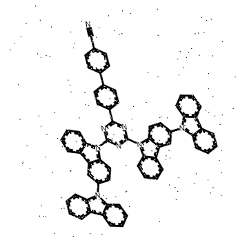 N#Cc1ccc(-c2ccc(-c3nc(-n4c5ccccc5c5cc(-n6c7ccccc7c7ccccc76)ccc54)nc(-n4c5ccccc5c5cc(-n6c7ccccc7c7ccccc76)ccc54)n3)cc2)cc1